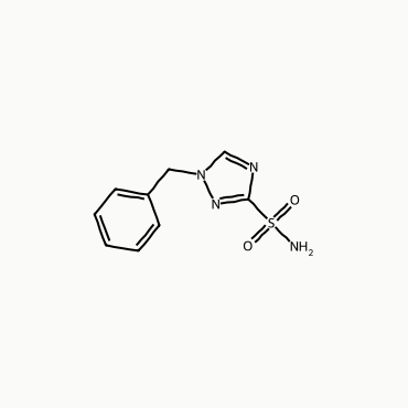 NS(=O)(=O)c1ncn(Cc2ccccc2)n1